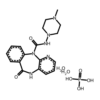 CN1CCN(NC(=O)N2c3ccccc3C(=O)Nc3cccnc32)CC1.O.O.O=P(O)(O)O